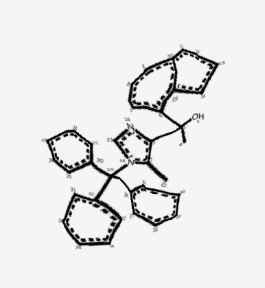 Cc1c(C(C)(O)c2cccc3ccccc23)ncn1C(c1ccccc1)(c1ccccc1)c1ccccc1